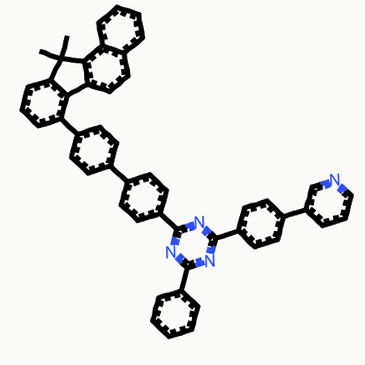 CC1(C)c2cccc(-c3ccc(-c4ccc(-c5nc(-c6ccccc6)nc(-c6ccc(-c7cccnc7)cc6)n5)cc4)cc3)c2-c2ccc3ccccc3c21